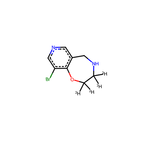 [2H]C1([2H])NCc2cncc(Br)c2OC1([2H])[2H]